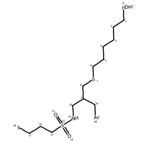 CCCCCCCCCCCCCCCCSCC(CNS(=O)(=O)CCCI)CC(C)=O